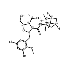 COc1c(Br)cc(Cl)cc1CN1O[C@@H](CO)[C@@H]([C@H](C)O)[C@H]1C(=O)N[C@H]1C[C@H]2C[C@@H]([C@@H]1C)C2(C)C